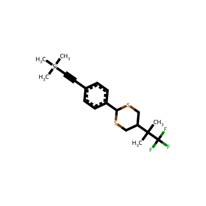 CC(C)(C1CSC(c2ccc(C#C[Si](C)(C)C)cc2)SC1)C(F)(F)F